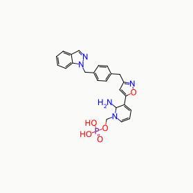 NC1C(c2cc(Cc3ccc(Cn4ncc5ccccc54)cc3)no2)=CC=CN1COP(=O)(O)O